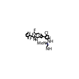 CN/C(=C\C=N)Nc1cc(-c2cc3n(c2)C[C@H](CF)n2c-3nnc2C(F)(F)c2ncccc2C)c(Cl)cn1